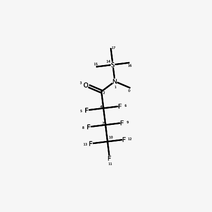 CN(C(=O)C(F)(F)C(F)(F)C(F)(F)F)S(C)(C)C